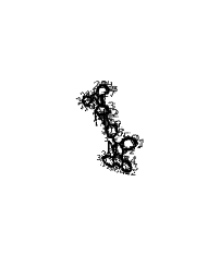 c1ccc2c(c1)c(-c1ccc(-c3ccc(-n4c5ccccc5c5ccccc54)cn3)cc1)nc1c3ccccc3c3ccccc3c21